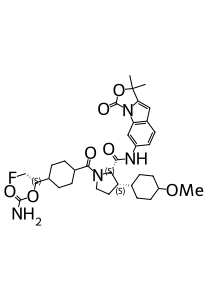 COC1CCC([C@@H]2CCN(C(=O)C3CCC([C@@H](CF)OC(N)=O)CC3)[C@@H]2C(=O)Nc2ccc3cc4n(c3c2)C(=O)OC4(C)C)CC1